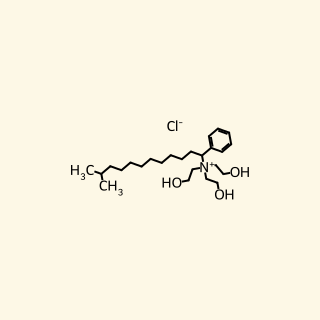 CC(C)CCCCCCCCCC(c1ccccc1)[N+](CCO)(CCO)CCO.[Cl-]